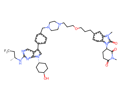 C[C@H](CC(F)(F)F)Nc1ncc2c(-c3ccc(CN4CCN(CCCOCCCc5ccc6c(c5)n(C)c(=O)n6C5CCC(=O)N(C)C5=O)CC4)cc3)cn([C@H]3CC[C@H](O)CC3)c2n1